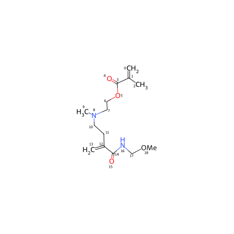 C=C(C)C(=O)OCCN(C)CCC(=C)C(=O)NCOC